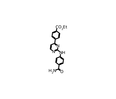 CCOC(=O)c1ccc(-c2ccnc(Nc3ccc(C(N)=O)cc3)n2)cc1